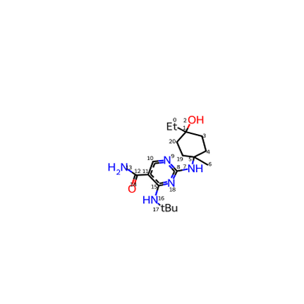 CCC1(O)CCC(C)(Nc2ncc(C(N)=O)c(NC(C)(C)C)n2)CC1